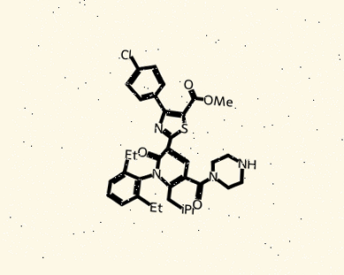 CCc1cccc(CC)c1-n1c(CC(C)C)c(C(=O)N2CCNCC2)cc(-c2nc(-c3ccc(Cl)cc3)c(C(=O)OC)s2)c1=O